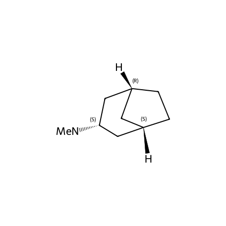 CN[C@@H]1C[C@@H]2CC[C@@H](C2)C1